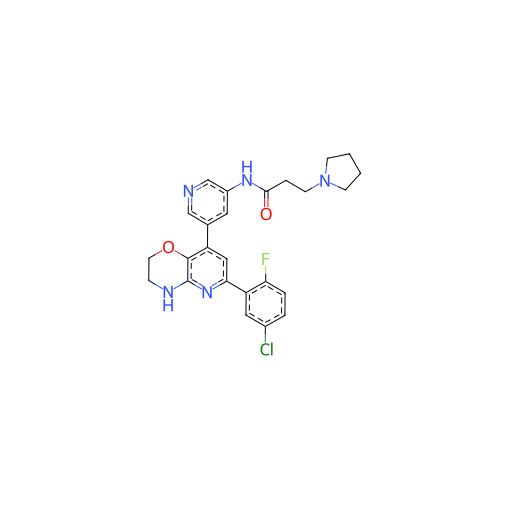 O=C(CCN1CCCC1)Nc1cncc(-c2cc(-c3cc(Cl)ccc3F)nc3c2OCCN3)c1